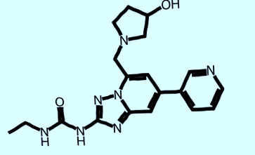 CCNC(=O)Nc1nc2cc(-c3cccnc3)cc(CN3CCC(O)C3)n2n1